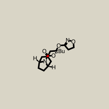 CC(C)(C)OC(=O)N1[C@@H]2CC[C@H]1CC(CCOC1=NOCC1)C2